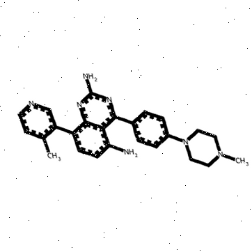 Cc1ccncc1-c1ccc(N)c2c(-c3ccc(N4CCN(C)CC4)cc3)nc(N)nc12